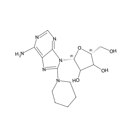 Nc1ncnc2c1nc(N1CCCCC1)n2[C@@H]1O[C@H](CO)C(O)C1O